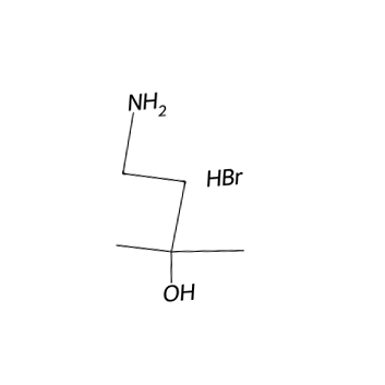 Br.CC(C)(O)CCN